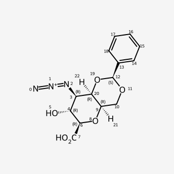 [N-]=[N+]=N[C@@H]1[C@@H](O)[C@H](C(=O)O)O[C@@H]2CO[C@H](c3ccccc3)O[C@H]12